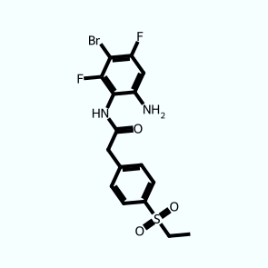 CCS(=O)(=O)c1ccc(CC(=O)Nc2c(N)cc(F)c(Br)c2F)cc1